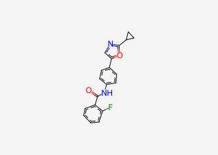 O=C(Nc1ccc(-c2cnc(C3CC3)o2)cc1)c1ccccc1F